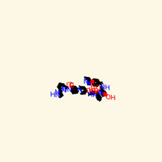 COc1cc(N2CC[C@H](OCC(=O)N[C@H](C(O)N3C[C@H](O)C[C@H]3C(O)N[C@@H](C)c3ccc(-c4ccnn4C)cc3)C(C)(C)C)C[C@@H]2C)ccc1NC(=O)c1cccc(-c2cc[nH]n2)n1